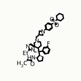 C=CC(=O)N[C@H]1CCC[C@@H]1[C@](Cn1ccnc1CC)(c1cccc(F)c1)C1CCN(CC2CN(c3ccc(S(=O)(=O)C4CCCCC4)cc3)C2)CC1